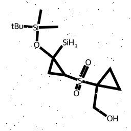 CC(C)(C)[Si](C)(C)OC1([SiH3])CC1S(=O)(=O)C1(CO)CC1